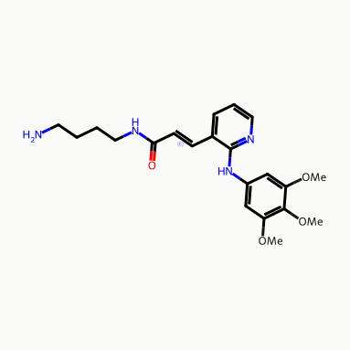 COc1cc(Nc2ncccc2/C=C/C(=O)NCCCCN)cc(OC)c1OC